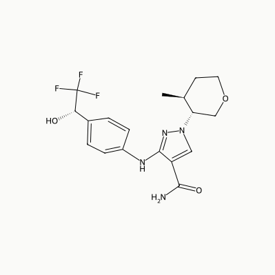 C[C@H]1CCOC[C@@H]1n1cc(C(N)=O)c(Nc2ccc([C@H](O)C(F)(F)F)cc2)n1